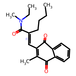 CCCC/C(=C\C1=C(C)C(=O)c2ccccc2C1=O)C(=O)N(C)CC